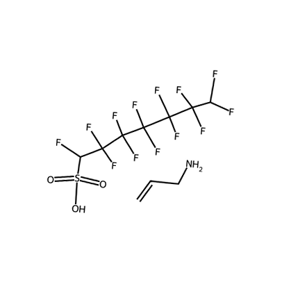 C=CCN.O=S(=O)(O)C(F)C(F)(F)C(F)(F)C(F)(F)C(F)(F)C(F)(F)C(F)F